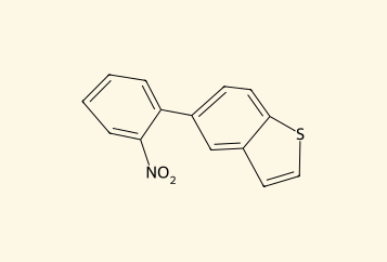 O=[N+]([O-])c1ccccc1-c1ccc2sccc2c1